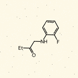 CCC(=O)CNc1ccccc1F